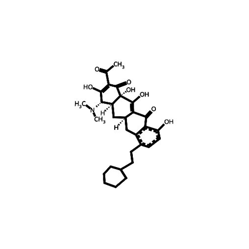 CC(=O)C1=C(O)[C@@H](N(C)C)[C@@H]2C[C@@H]3Cc4c(CCC5CCCCC5)ccc(O)c4C(=O)C3=C(O)[C@]2(O)C1=O